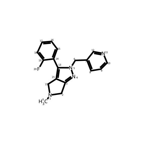 CN1Cc2nn(Cc3cccnc3)c(-c3ccccc3F)c2C1